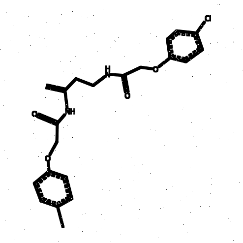 C=C(CCNC(=O)COc1ccc(Cl)cc1)NC(=O)COc1ccc(C)cc1